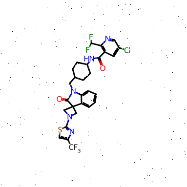 O=C(NC1CCC(CN2C(=O)C3(CN(c4nc(C(F)(F)F)cs4)C3)c3ccccc32)CC1)c1cc(Cl)cnc1C(F)F